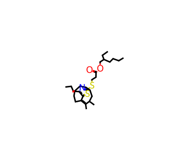 CCCCC(CC)COC(=O)CCSc1nc(CCC)c(/C2=C(/C)C(C)CCCCCCC2)s1